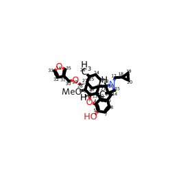 COC1[C@@H]2Oc3c(O)ccc4c3[C@@]23CC2(C4)CN(CC4CC4)[C@H]2[C@]32CCC(C)[C@@]1(COCc1ccoc1)C2